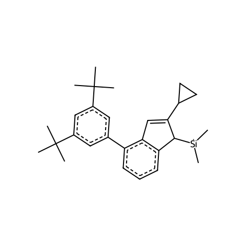 C[Si](C)C1C(C2CC2)=Cc2c(-c3cc(C(C)(C)C)cc(C(C)(C)C)c3)cccc21